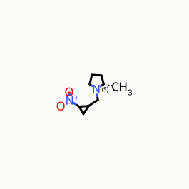 C[C@H]1CCCN1CC1CC1[N+](=O)[O-]